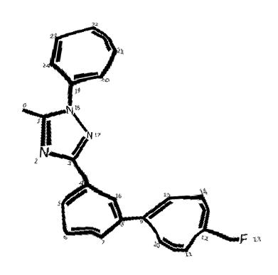 Cc1nc(-c2cccc(-c3ccc(F)cc3)c2)nn1-c1ccccc1